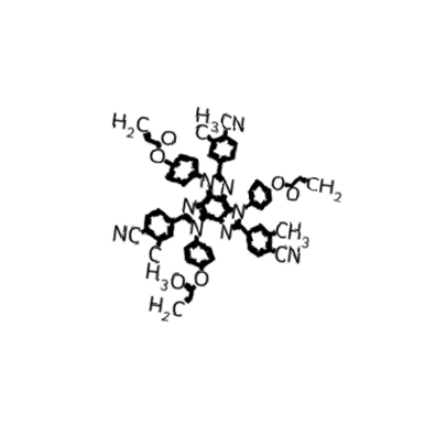 C=CC(=O)Oc1ccc(-n2c(-c3ccc(C#N)c(C)c3)nc3c2c2nc(-c4ccc(C#N)c(C)c4)n(-c4ccc(OC(=O)C=C)cc4)c2c2nc(-c4ccc(C#N)c(C)c4)n(-c4ccc(OC(=O)C=C)cc4)c32)cc1